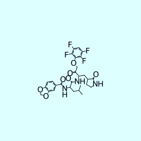 CC(C)CC(NC(=O)c1ccc2c(c1)OCO2)C(=O)NC(CC1CCNC1=O)C(=O)COc1c(F)c(F)cc(F)c1F